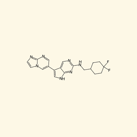 FC1(F)CCC(CNc2ncc3c(-c4cnc5nccn5c4)c[nH]c3n2)CC1